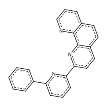 c1ccc(-c2cccc(-c3ccc4ccc5cccnc5c4n3)n2)cc1